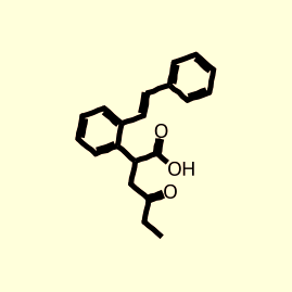 CCC(=O)CC(C(=O)O)c1ccccc1C=Cc1ccccc1